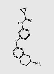 NC1CCc2ccc(Oc3ccnc(NC(=O)C4CC4)c3)cc2C1